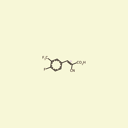 N#C/C(=C\c1ccc(F)c(C(F)(F)F)c1)C(=O)O